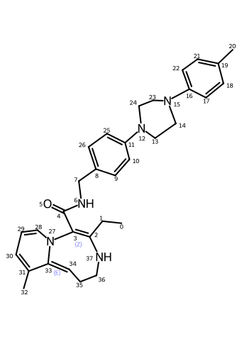 CC/C1=C(\C(=O)NCc2ccc(N3CCN(c4ccc(C)cc4)CC3)cc2)N2C=CC=C(C)/C2=C\CCN1